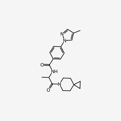 Cc1cnn(-c2ccc(C(=O)NC(C)C(=O)N3CCC4(CC3)CC4)cc2)c1